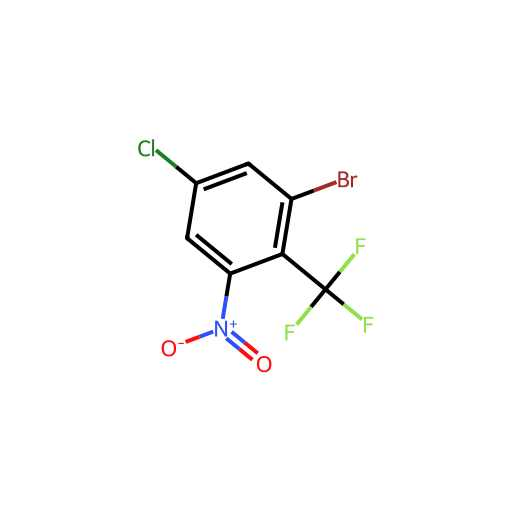 O=[N+]([O-])c1cc(Cl)cc(Br)c1C(F)(F)F